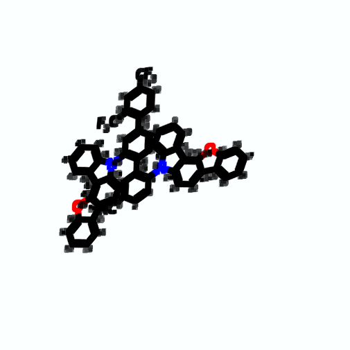 N#Cc1ccc(-n2c3ccccc3c3c4oc5ccccc5c4ccc32)c(-c2ccc(-c3ccc(C(F)(F)F)cc3C(F)(F)F)cc2-n2c3ccccc3c3c4oc5ccccc5c4ccc32)c1